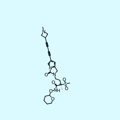 CN1CC(C#CC#Cc2cc3n(c2)C(=O)N(CC[C@](C)(C(=O)NOC2CCCCO2)S(C)(=O)=O)C3)C1